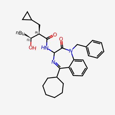 CCCC[C@H](O)[C@@H](CC1CC1)C(=O)NC1N=C(C2CCCCCC2)c2ccccc2N(Cc2ccccc2)C1=O